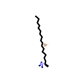 C=C(CCCCCCCCCCCCCCCC)[N+](C)(C)C.[Br-]